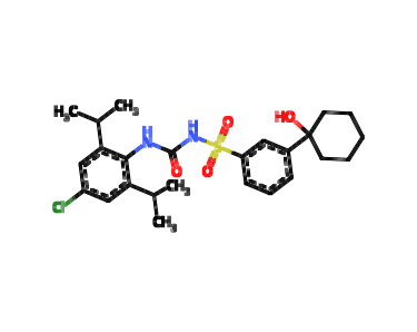 CC(C)c1cc(Cl)cc(C(C)C)c1NC(=O)NS(=O)(=O)c1cccc(C2(O)CCCCC2)c1